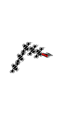 O=C([O-])CN(CCN(CC(=O)[O-])CC(=O)[O-])CC(=O)[O-].O=C([O-])CN(CCN(CC(=O)[O-])CC(=O)[O-])CC(=O)[O-].O=C([O-])CN(CCN(CC(=O)[O-])CC(=O)[O-])CC(=O)[O-].O=C([O-])CN(CCN(CC(=O)[O-])CC(=O)[O-])CC(=O)[O-].O=C([O-])CN(CCN(CC(=O)[O-])CC(=O)[O-])CC(=O)[O-].[Ca+2].[Ca+2].[Ca+2].[Ca+2].[Cr+3].[Cr+3].[Cr+3].[Cr+3]